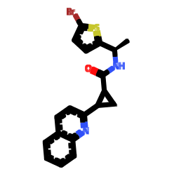 C[C@@H](NC(=O)C1CC1c1ccc2ccccc2n1)c1ccc(Br)s1